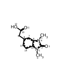 Cn1c(=O)n(C)c2cc(CC(=O)O)ccc21